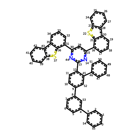 c1ccc(-c2cccc(-c3ccc(-c4nc(-c5cccc6c5sc5ccccc56)cc(-c5cccc6c5sc5ccccc56)n4)c(-c4ccccc4)c3)c2)cc1